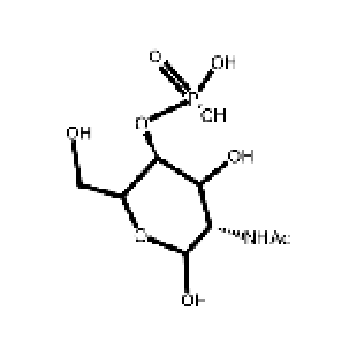 CC(=O)N[C@@H]1C(O)OC(CO)[C@@H](OP(=O)(O)O)C1O